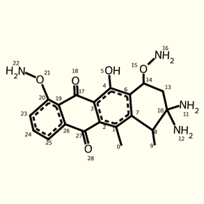 Cc1c2c(c(O)c3c1C(C)C(N)(N)CC3ON)C(=O)c1c(ON)cccc1C2=O